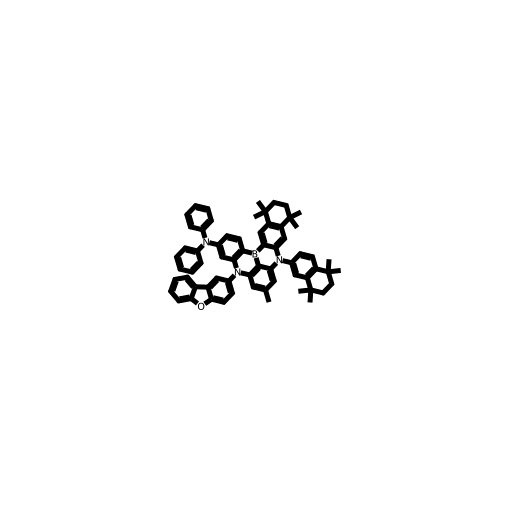 Cc1cc2c3c(c1)N(c1ccc4c(c1)C(C)(C)CCC4(C)C)c1cc4c(cc1B3c1ccc(N(c3ccccc3)c3ccccc3)cc1N2c1ccc2oc3ccccc3c2c1)C(C)(C)CCC4(C)C